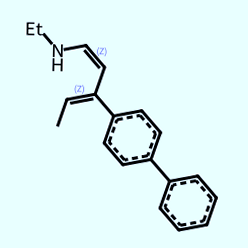 C/C=C(/C=C\NCC)c1ccc(-c2ccccc2)cc1